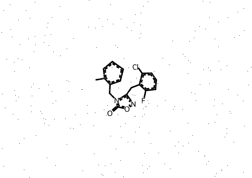 Cc1ccccc1Cn1c(Cc2c(F)cccc2Cl)noc1=O